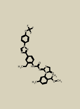 CCc1cc(-c2ncn(-c3ccc(OC(F)(F)F)cc3)n2)ccc1NC(=O)/N=C1\SCC(=O)N1c1cc(C)ccc1C(C)OC